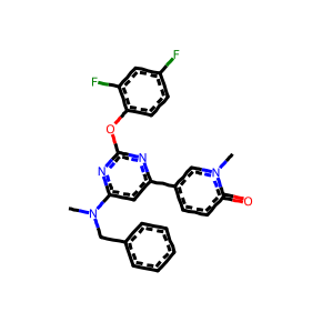 CN(Cc1ccccc1)c1cc(-c2ccc(=O)n(C)c2)nc(Oc2ccc(F)cc2F)n1